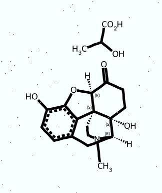 CC(O)C(=O)O.CN1CC[C@]23c4c5ccc(O)c4O[C@H]2C(=O)CC[C@@]3(O)[C@H]1C5